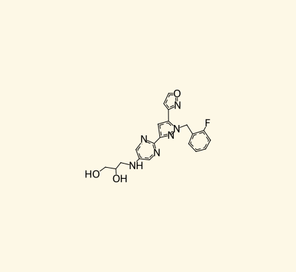 OCC(O)CNc1cnc(-c2cc(-c3ccon3)n(Cc3ccccc3F)n2)nc1